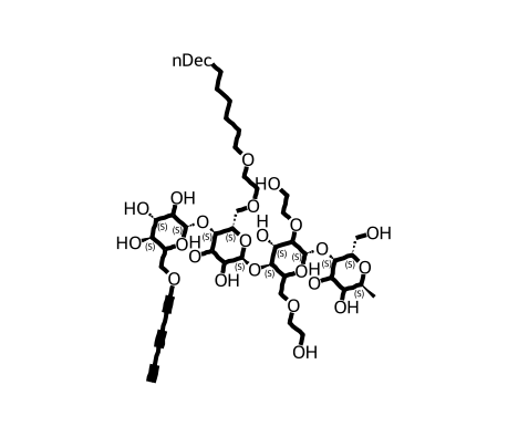 C#CC#CC#COCC1O[C@@H](O[C@H]2C(O)C(O)[C@H](O[C@@H]3C(COCCO)O[C@@H](O[C@H]4C(O)C(O)[C@H](C)O[C@H]4CO)C(OCCO)[C@H]3O)O[C@H]2COCCOCCCCCCCCCCCCCCCC)C(O)[C@@H](O)[C@@H]1O